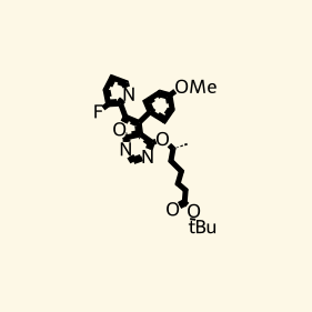 COc1ccc(-c2c(-c3ncccc3F)oc3ncnc(O[C@H](C)CCCCC(=O)OC(C)(C)C)c23)cc1